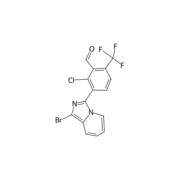 O=Cc1c(C(F)(F)F)ccc(-c2nc(Br)c3ccccn23)c1Cl